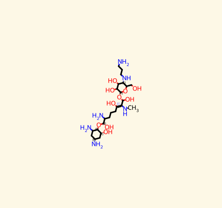 CN/C(=C(/O)CCCC(N)[C@H](O)O[C@@H]1C(N)C[C@@H](N)C[C@H]1O)C(O)O[C@H]1OC(CO)[C@@H](NCCCN)C(O)C1O